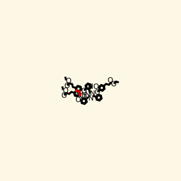 CCOC(=O)CCc1ccc(Oc2ccccc2-c2nc(-c3ccccc3Oc3ccc(CCC(=O)OCC)cc3O)nc(-c3ccccc3Oc3ccc(CCC(=O)OCC)cc3O)n2)c(O)c1